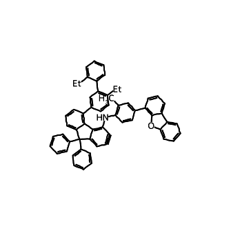 CCc1ccccc1-c1cc(-c2cccc3c2-c2c(Nc4ccc(-c5cccc6c5oc5ccccc56)cc4C)c#ccc2C3(c2ccccc2)c2ccccc2)ccc1CC